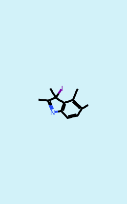 CC1=Nc2ccc(C)c(C)c2C1(C)I